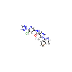 O=C(Nc1cnc(-n2nccn2)c(Cl)c1)c1cnn(-c2nccc3sccc23)c1C(F)(F)F